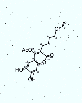 C=COCCCCc1c(OC(C)=O)c2cc(O)c(O)cc2oc1=O